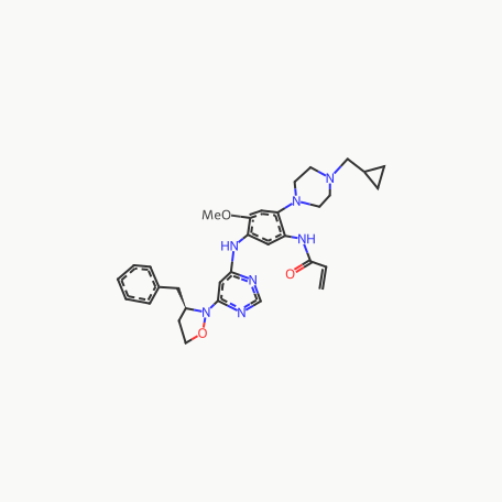 C=CC(=O)Nc1cc(Nc2cc(N3OCC[C@H]3Cc3ccccc3)ncn2)c(OC)cc1N1CCN(CC2CC2)CC1